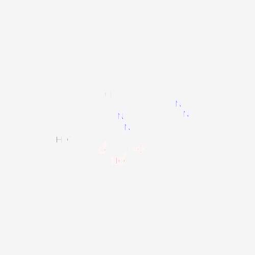 CCc1ccc(Cl)c2c1c(=O)c(C(=O)O)nn2Cc1ccc(-n2cccn2)cc1